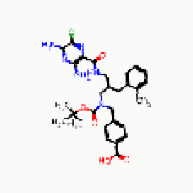 Cc1ccccc1CC(CNC(=O)c1nc(Cl)c(N)nc1N)CN(Cc1ccc(C(=O)O)cc1)C(=O)OC(C)(C)C